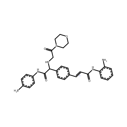 Bc1ccc(NC(=O)C(NCC(=O)N2CCOCC2)c2ccc(/C=C/C(=O)Nc3ccccc3N)cc2)cc1